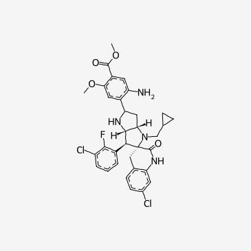 COC(=O)c1cc(N)c(C2C[C@H]3[C@@H](N2)[C@H](c2cccc(Cl)c2F)[C@@]2(Cc4ccc(Cl)cc4NC2=O)N3CC2CC2)cc1OC